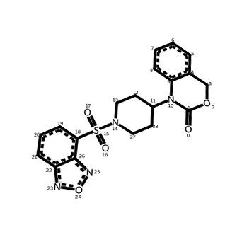 O=C1OCc2ccccc2N1C1CCN(S(=O)(=O)c2cccc3nonc23)CC1